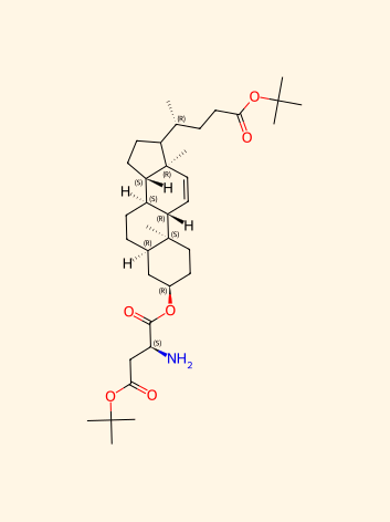 C[C@H](CCC(=O)OC(C)(C)C)C1CC[C@H]2[C@@H]3CC[C@@H]4C[C@H](OC(=O)[C@@H](N)CC(=O)OC(C)(C)C)CC[C@]4(C)[C@H]3C=C[C@]12C